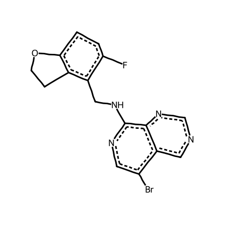 Fc1ccc2c(c1CNc1ncc(Br)c3cncnc13)CCO2